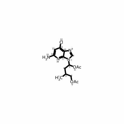 CC(=O)OCC(C)CC(OC(C)=O)n1cnc2c(Cl)cc(N)nc21